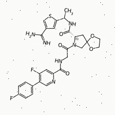 CC(NC(=O)[C@@H]1CC2(CN1C(=O)CNC(=O)c1cc(F)c(-c3ccc(F)cc3)cn1)OCCO2)c1cc(C(=N)N)cs1